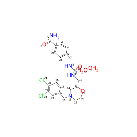 NC(=O)c1ccc(CNC(=O)NC[C@H]2CN(Cc3ccc(Cl)c(Cl)c3)CCO2)cc1.O.O